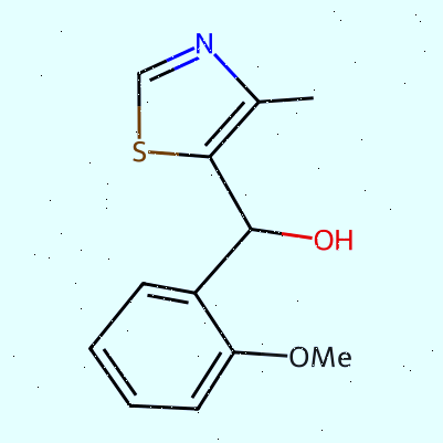 COc1ccccc1C(O)c1scnc1C